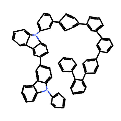 c1ccc(-c2ccccc2-c2ccc(-c3cccc(-c4cccc(-c5ccc(-c6cccc(-n7c8ccccc8c8cc(-c9ccc%10c(c9)c9ccccc9n%10-c9ccccc9)ccc87)c6)cc5)c4)c3)cc2)cc1